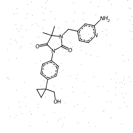 CC1(C)C(=O)N(c2ccc(C3(CO)CC3)cc2)C(=O)N1Cc1ccnc(N)c1